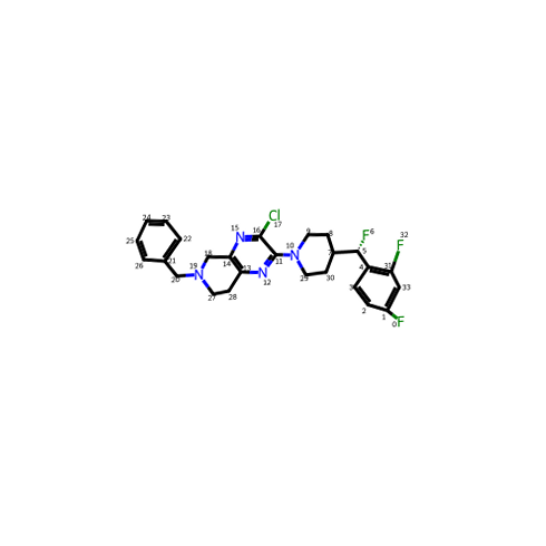 Fc1ccc([C@@H](F)C2CCN(c3nc4c(nc3Cl)CN(Cc3ccccc3)CC4)CC2)c(F)c1